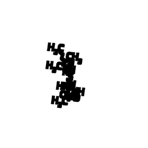 CCCCc1c(C)nc2nc(SCc3nc4[nH]c(=O)n(CC)c(=O)c4[nH]3)nn2c1C